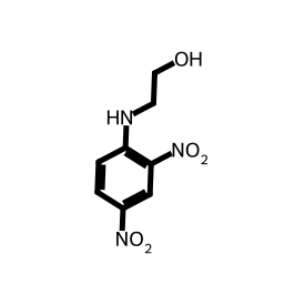 O=[N+]([O-])c1ccc(NCCO)c([N+](=O)[O-])c1